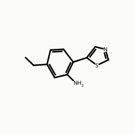 CCc1ccc(-c2cncs2)c(N)c1